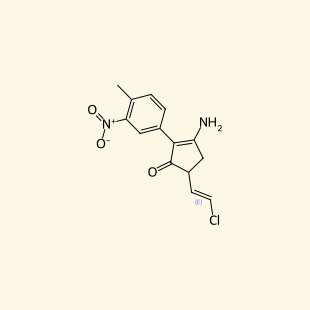 Cc1ccc(C2=C(N)CC(/C=C/Cl)C2=O)cc1[N+](=O)[O-]